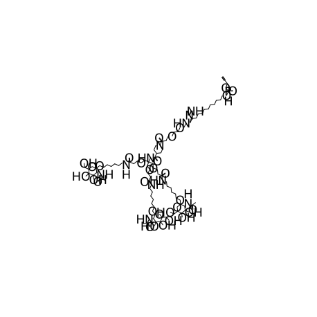 C#CCO[PH](=O)OCCCCCCCCCC/C(=C/NCOCCOCCC(=O)N1CCC(C(=O)NC(COCCC(=O)NCCCCCCOC2OC(CO)C(O)C(O)C2NC(C)=O)(COCCC(=O)NCCCCCCOC2OC(CO)C(O)C(O)C2NC(C)=O)COCCC(=O)NCCCCCCOC2OC(CO)C(O)C(O)C2NC(C)=O)CC1)N=N